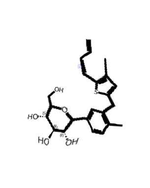 C=C/C=C\c1sc(Cc2cc(C3OC(CO)[C@@H](O)[C@H](O)[C@H]3O)ccc2C)cc1C